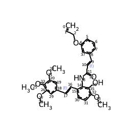 C=CCOc1cccc(/C=C/C(=O)Nc2c(/C=C/c3cc(OC)c(OC)c(OC)c3)ccc(OC)c2O)c1